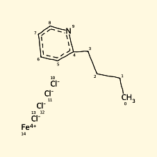 CCCCc1ccccn1.[Cl-].[Cl-].[Cl-].[Cl-].[Fe+4]